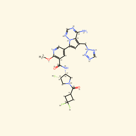 COc1ncc(-c2cc(Cn3ncnn3)c3c(N)ncnn23)cc1C(=O)N[C@@H]1CN(C(=O)C2CC(F)(F)C2)C[C@@H]1F